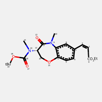 CCOC(=O)/C=C\c1ccc2c(c1)N(C)C(=O)[C@@H](N(C)C(=O)OC(C)(C)C)CO2